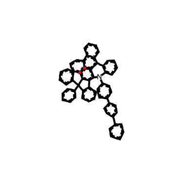 c1ccc(-c2ccc(-c3ccc(N(c4ccccc4-c4cc5ccccc5c5ccccc45)c4cccc5c4-c4ccccc4C5(c4ccccc4)c4ccccc4)cc3)cc2)cc1